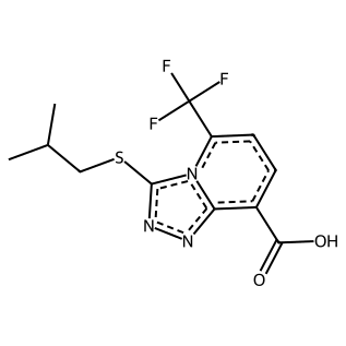 CC(C)CSc1nnc2c(C(=O)O)ccc(C(F)(F)F)n12